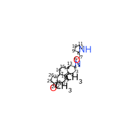 C[C@]12CC/C(=N/OCC3CCCN3)C=C1CCC1C2CC[C@]2(C)C(=O)CCC12